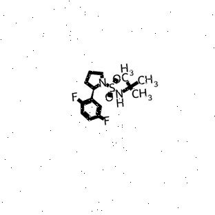 CC(C)(C)NS(=O)(=O)N1CCC[C@@H]1c1cc(F)ccc1F